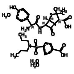 CC1(C)S[C@@H]2[C@H](NC(=O)[C@H](N)c3ccc(O)cc3)C(=O)N2[C@H]1C(=O)O.CCCN(CCC)S(=O)(=O)c1ccc(C(=O)O)cc1.O.O.O